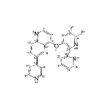 Cc1cc(Oc2ccnc3ccc(-c4ccncc4)cc23)c(-c2ccccn2)nc1C